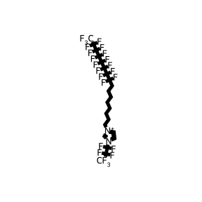 FC(F)(F)C(F)(F)C(F)(F)n1cc[n+](CCCCCCCCC(F)(F)C(F)(F)C(F)(F)C(F)(F)C(F)(F)C(F)(F)C(F)(F)C(F)(F)F)c1